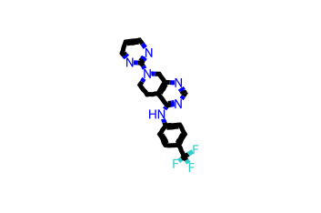 FC(F)(F)c1ccc(Nc2ncnc3c2CCN(c2ncccn2)C3)cc1